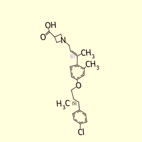 C/C(=C\CN1CC(C(=O)O)C1)c1ccc(OC[C@@H](C)Cc2ccc(Cl)cc2)cc1C